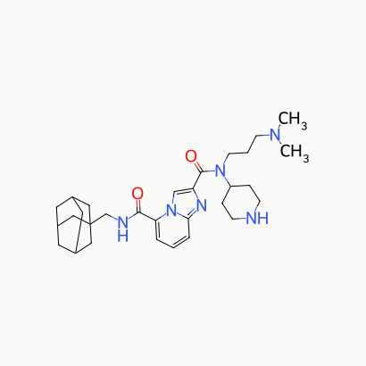 CN(C)CCCN(C(=O)c1cn2c(C(=O)NCC34CC5CC(CC(C5)C3)C4)cccc2n1)C1CCNCC1